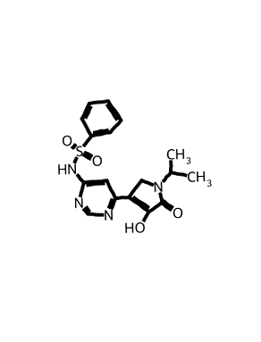 CC(C)N1CC(c2cc(NS(=O)(=O)c3ccccc3)ncn2)=C(O)C1=O